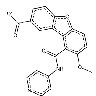 COc1ccc2oc3ccc([N+](=O)[O-])cc3c2c1C(=O)Nc1ccncc1